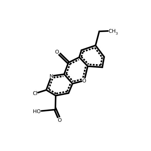 CCc1ccc2oc3cc(C(=O)O)c(Cl)nc3c(=O)c2c1